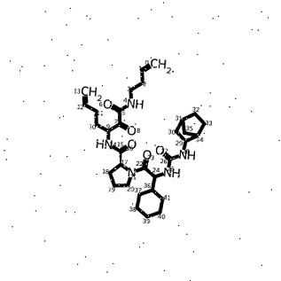 C=CCCNC(=O)C(=O)C(CCC=C)NC(=O)[C@@H]1CCCN1C(=O)C(NC(=O)NC1CC2CCC1C2)C1CCCCC1